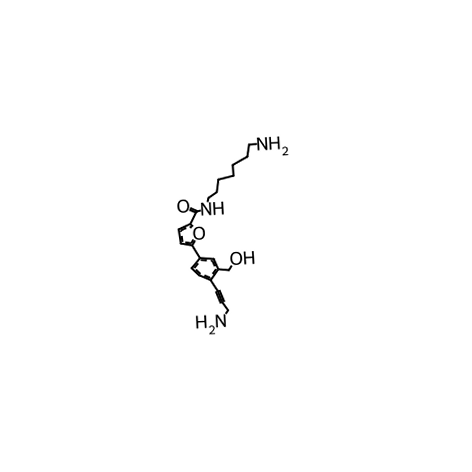 NCC#Cc1ccc(-c2ccc(C(=O)NCCCCCCCN)o2)cc1CO